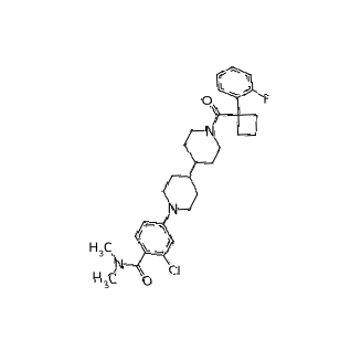 CN(C)C(=O)c1ccc(N2CCC(C3CCN(C(=O)C4(c5ccccc5F)CCC4)CC3)CC2)cc1Cl